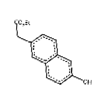 CCOC(=O)Cc1ccc2cc(O)ccc2c1